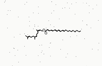 CCCCCCCCCC=CC=CC=CC=CC=CC(=O)OCC=C(C)CCC=C(C)CCC=C(C)C